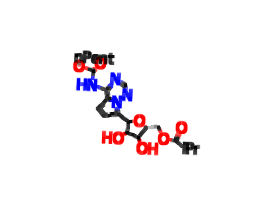 CCCCCOC(=O)Nc1ncnn2c(C3O[C@H](COC(=O)C(C)C)[C@@H](O)[C@H]3O)ccc12